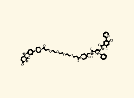 O=C1CCC(Nc2ccc(N3CCN(C(=O)CCOCCOCCOCCOCCC(=O)N4CCC(O)(CNC(=O)c5cc(NC(=O)c6cc(-c7ccccn7)c(Cl)cc6Cl)n(-c6ccccc6)n5)CC4)CC3)cc2)C(=O)N1